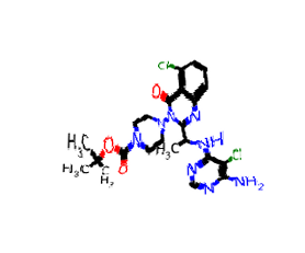 CC(Nc1ncnc(N)c1Cl)c1nc2cccc(Cl)c2c(=O)n1N1CCN(C(=O)OC(C)(C)C)CC1